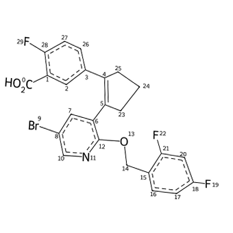 O=C(O)c1cc(C2=C(c3cc(Br)cnc3OCc3ccc(F)cc3F)CCC2)ccc1F